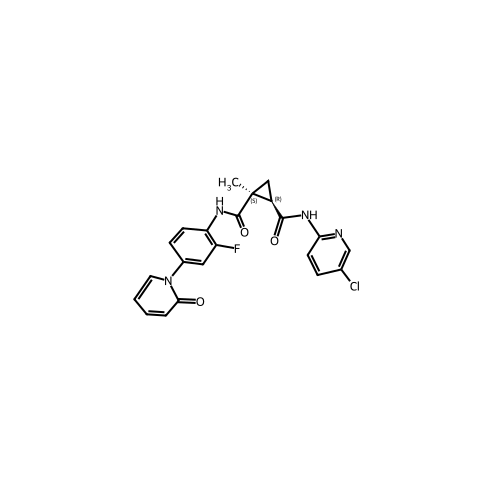 C[C@]1(C(=O)Nc2ccc(-n3ccccc3=O)cc2F)C[C@H]1C(=O)Nc1ccc(Cl)cn1